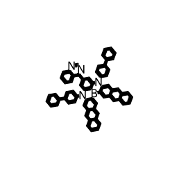 c1ccc(-c2ccc(N3c4cc5cc6ccccc6cc5cc4B4c5cc6cc7ccccc7cc6cc5N(c5ccc(-c6ccccc6)cc5)c5cc(-c6ncnc7ccccc67)cc3c54)cc2)cc1